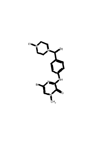 CCC(c1ccc(Nc2nc(Br)cn(C)c2=O)cc1)N1CCN(CC)CC1